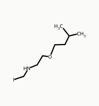 CC(C)CCOCCNCI